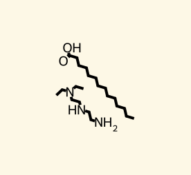 CCCCCCCCCCCCCC(=O)O.CCN(CC)CCNCCN